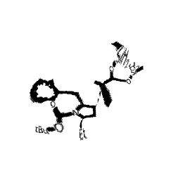 CC[C@@H]1C[C@@H](C(C)(C)C(O[SiH2]C)O[SiH2]C)[C@H](Cc2ccccc2)N1C(=O)OC(C)(C)C